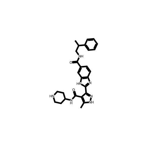 Cc1[nH]nc(-c2nc3ccc(C(=O)NCC(C)c4ccccc4)cc3[nH]2)c1C(=O)NC1CCNCC1